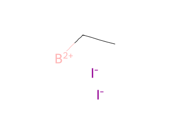 [B+2]CC.[I-].[I-]